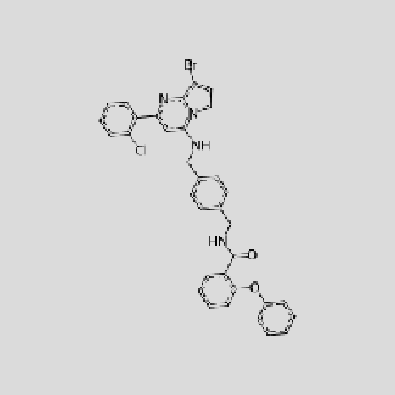 O=C(NCc1ccc(CNc2cc(-c3ccccc3Cl)nc3c(Br)ccn23)cc1)c1ccccc1Oc1ccccc1